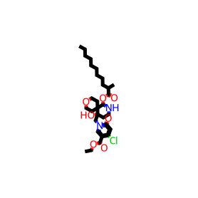 CCCCCCCCCC(C)C(=O)OC1NCCC(O)(Cn2cc(C(=O)OCC)c(Cl)cc2=O)C12CCOCC2